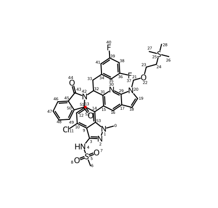 Cn1nc(NS(C)(=O)=O)c2c(Cl)ccc(-c3cc4ccn(COCCS(C)(C)C)c4nc3C(Cc3cc(F)cc(F)c3)N3C(=O)c4ccccc4C3=O)c21